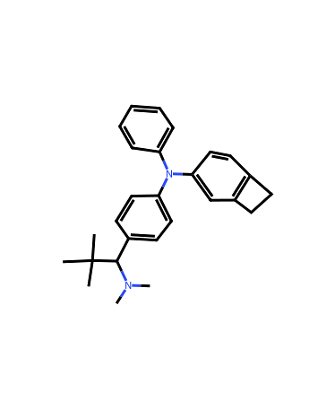 CN(C)C(c1ccc(N(c2ccccc2)c2ccc3c(c2)CC3)cc1)C(C)(C)C